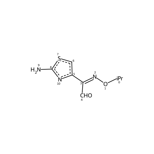 CC(C)ON=C(C=O)c1csc(N)n1